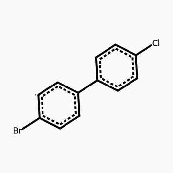 Clc1ccc(-c2c[c]c(Br)cc2)cc1